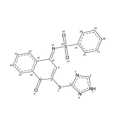 O=C1C(Sc2nc[nH]n2)=CC(=NS(=O)(=O)c2ccccc2)c2ccccc21